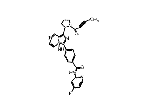 CC#CC(=O)N1CCCC1C1=C2C=NC=C[N+]2(N)C(c2ccc(C(=O)Nc3cc(F)ccn3)cc2)=N1